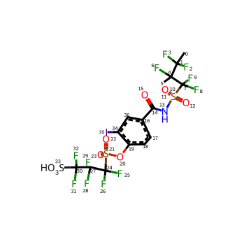 CC(F)(F)C(C)(F)C(F)(F)S(=O)(=O)NC(=O)c1ccc(OS(=O)(=O)C(F)(F)C(F)(F)C(F)(F)S(=O)(=O)O)c(I)c1